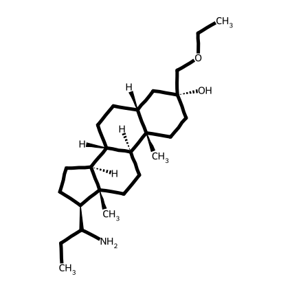 CCOC[C@@]1(O)CC[C@@]2(C)[C@H](CC[C@@H]3[C@@H]2CC[C@]2(C)[C@@H](C(N)CC)CC[C@@H]32)C1